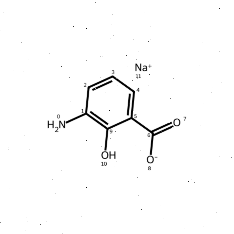 Nc1cccc(C(=O)[O-])c1O.[Na+]